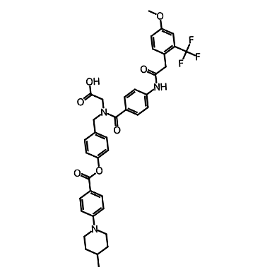 COc1ccc(CC(=O)Nc2ccc(C(=O)N(CC(=O)O)Cc3ccc(OC(=O)c4ccc(N5CCC(C)CC5)cc4)cc3)cc2)c(C(F)(F)F)c1